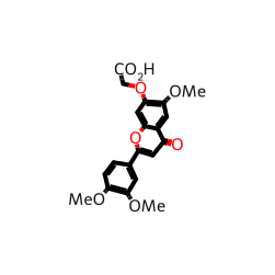 COc1ccc(-c2cc(=O)c3cc(OC)c(OCC(=O)O)cc3o2)cc1OC